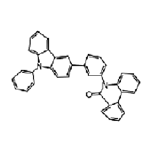 O=c1c2ccccc2c2ccccc2n1-c1cccc(-c2ccc3c(c2)c2ccccc2n3-c2ccccc2)c1